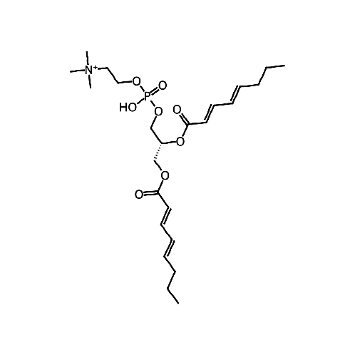 CCC/C=C/C=C/C(=O)OC[C@H](COP(=O)(O)OCC[N+](C)(C)C)OC(=O)/C=C/C=C/CCC